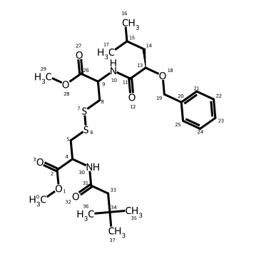 COC(=O)C(CSSCC(NC(=O)[C@@H](CC(C)C)OCc1ccccc1)C(=O)OC)NC(=O)CC(C)(C)C